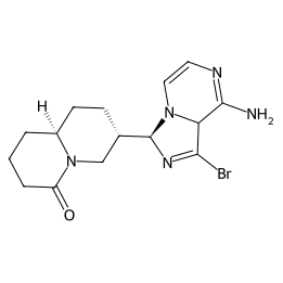 NC1=NC=CN2C1C(Br)=N[C@H]2[C@H]1CC[C@@H]2CCCC(=O)N2C1